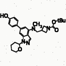 CN(CC1CN(C(=O)OC(C)(C)C)C1)c1cc(-c2ccc(O)cc2)cc2c1cnn2C1CCCCO1